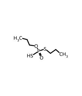 CCCOP(=O)(S)SCCC